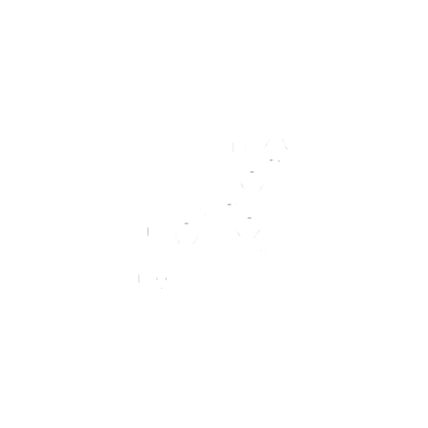 Cc1cc(SC/C=C(\c2ccc(Br)cc2)c2ccc(-c3ccccc3C(F)(F)F)cc2)ccc1OCC(=O)O